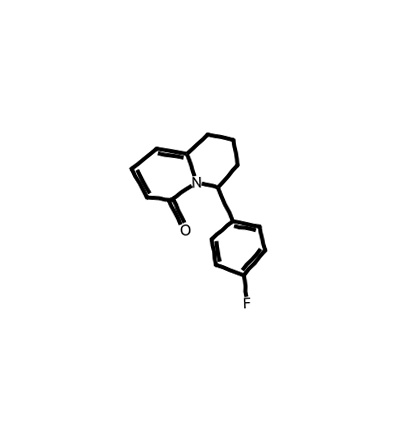 O=c1cccc2n1C(c1ccc(F)cc1)CCC2